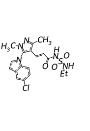 CCNS(=O)(=O)NC(=O)/C=C/c1c(C)nn(C)c1-n1ccc2cc(Cl)ccc21